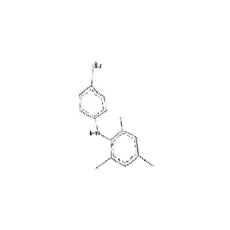 Cc1cc(C)c(Nc2ccc(C(C)(C)C)cc2)c(C)c1